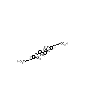 Cc1c(COc2ccc(CNCCCC(=O)O)cc2C(F)(F)F)cccc1-c1cccc(COc2ccc(CNCCCC(=O)O)cc2C(F)(F)F)c1C